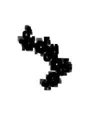 CCOc1cc(-c2ccc(NC(=O)Nc3ccc(CN4CCN(CC)CC4)c(C(F)(F)F)c3)c(F)c2)cnc1C